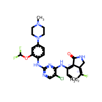 C=C/C(Nc1nc(Nc2ccc(N3CCN(C)CC3)cc2OC(F)F)ncc1Cl)=C1/C(=O)NC/C1=C(/C)F